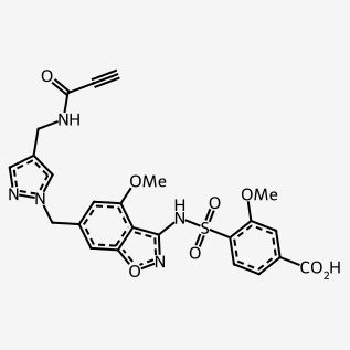 C#CC(=O)NCc1cnn(Cc2cc(OC)c3c(NS(=O)(=O)c4ccc(C(=O)O)cc4OC)noc3c2)c1